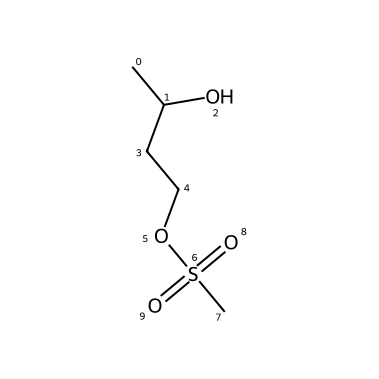 CC(O)CCOS(C)(=O)=O